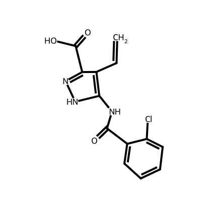 C=Cc1c(C(=O)O)n[nH]c1NC(=O)c1ccccc1Cl